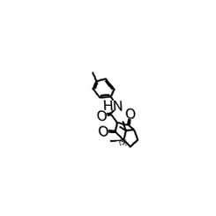 Cc1ccc(NC(=O)C2C(=O)C3CC[C@](C)(C2=O)C3(C)C)cc1